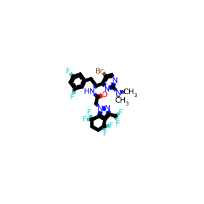 CN(C)c1ncc(Br)c(C(Cc2cc(F)cc(F)c2)NC(=O)Cn2nc(C(F)F)c3c2C(F)(F)CCC3(F)F)n1